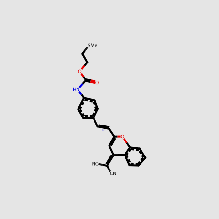 CSCCOC(=O)Nc1ccc(/C=C/C2=CC(=C(C#N)C#N)c3ccccc3O2)cc1